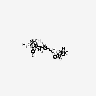 Cc1c(C#Cc2ccc(CCCCNc3cccc4c3C(=O)N(C3CCC(=O)NC3=O)C4=O)cn2)sc2c1C(c1ccc(Cl)cc1)=N[C@@H](C)c1nnc(C)n1-2